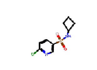 O=S(=O)(NC1CCC1)c1ccc(Cl)nc1